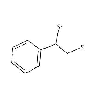 [S]CC([S])c1ccccc1